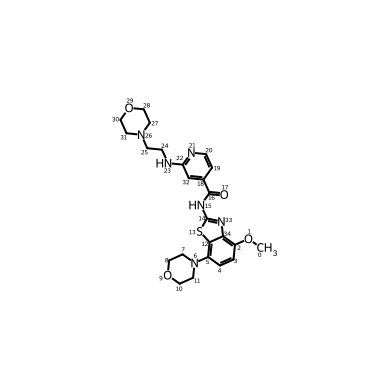 COc1ccc(N2CCOCC2)c2sc(NC(=O)c3ccnc(NCCN4CCOCC4)c3)nc12